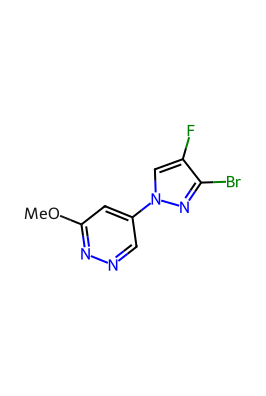 COc1cc(-n2cc(F)c(Br)n2)cnn1